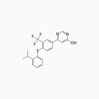 CC(C)c1ccccc1Sc1ccc(-c2cc(O)ncn2)cc1C(F)(F)F